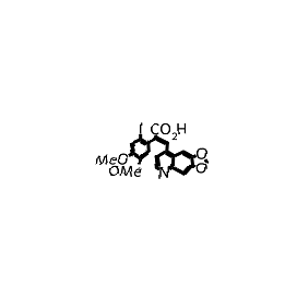 COc1cc(I)c(/C(=C\c2ccnc3cc4c(cc23)OCO4)C(=O)O)cc1OC